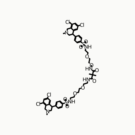 CN1Cc2c(Cl)cc(Cl)cc2C(c2ccc(S(=O)(=O)NCCOCCOCCNC(=O)C(C)(C)C(=O)NOCCOCCNS(=O)(=O)c3ccc(C4CN(C)Cc5c(Cl)cc(Cl)cc54)cc3)cc2)C1